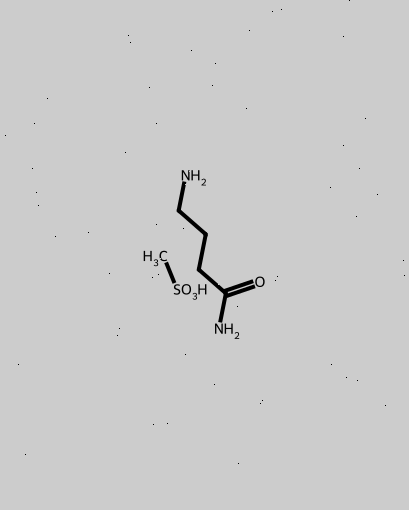 CS(=O)(=O)O.NCCCC(N)=O